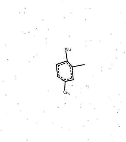 Cc1cc(C(F)(F)F)ccc1C(C)(C)C